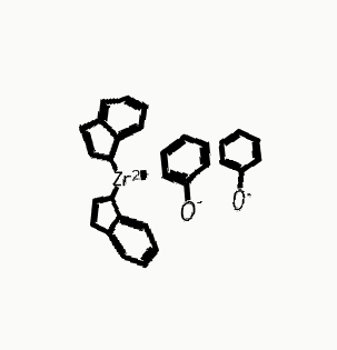 [CH2]=[Zr+2]([CH]1C=Cc2ccccc21)[CH]1C=Cc2ccccc21.[O-]c1ccccc1.[O-]c1ccccc1